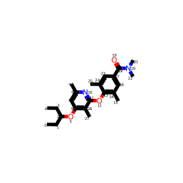 CCC(CC)Oc1cc(C)nc(Oc2c(C)cc(C(=O)N(C)C)cc2C)c1C